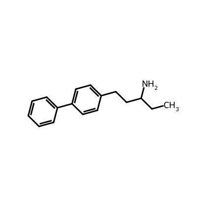 CCC(N)CCc1ccc(-c2ccccc2)cc1